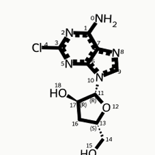 Nc1nc(Cl)nc2c1ncn2[C@@H]1O[C@H](CO)C[C@H]1O